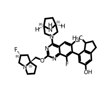 CC1CCc2cc(O)cc(-c3c(Cl)cc4c(N5C[C@H]6CC[C@@H](C5)N6)nc(OC[C@@]56CCCN5C[C@H](F)C6)nc4c3F)c21